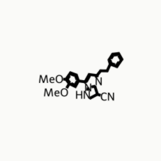 COc1ccc(C2=CC(CCc3ccccc3)=NC3C(C#N)CNN23)cc1OC